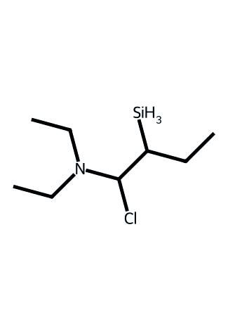 CCC([SiH3])C(Cl)N(CC)CC